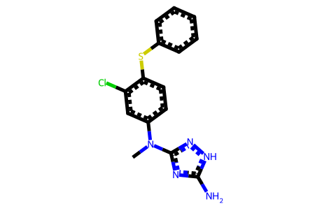 CN(c1ccc(Sc2ccccc2)c(Cl)c1)c1n[nH]c(N)n1